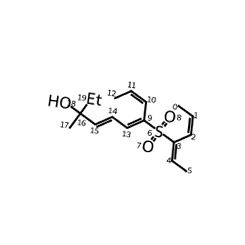 C/C=C\C(=C/C)S(=O)(=O)C(/C=C\C)=C/C=C/C(C)(O)CC